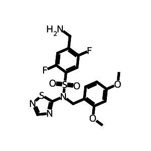 COc1ccc(CN(c2ncns2)S(=O)(=O)c2cc(F)c(CN)cc2F)c(OC)c1